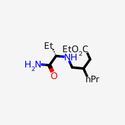 CCCC(CN[C@@H](CC)C(N)=O)CC(=O)OCC